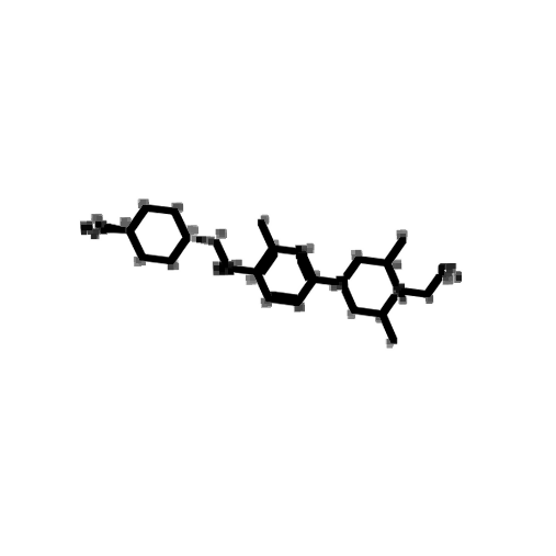 Cc1nc(N2CC(C)N(CC(F)(F)F)C(C)C2)ccc1NC[C@H]1CC[C@H](N)CC1